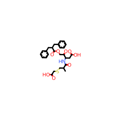 CC(CSCC(=O)O)C(=O)NC(CC(=O)O)C(=O)COC(=O)C(Cc1ccccc1)Cc1ccccc1